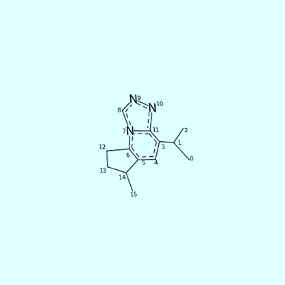 CC(C)c1cc2c(n3cnnc13)CCC2C